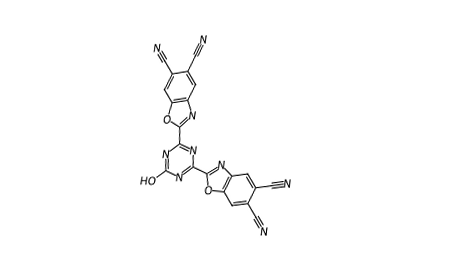 N#Cc1cc2nc(-c3nc(O)nc(-c4nc5cc(C#N)c(C#N)cc5o4)n3)oc2cc1C#N